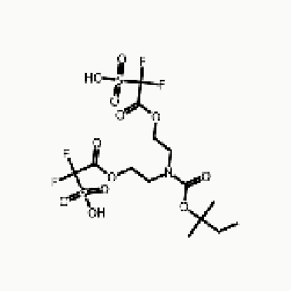 CCC(C)(C)OC(=O)N(CCOC(=O)C(F)(F)S(=O)(=O)O)CCOC(=O)C(F)(F)S(=O)(=O)O